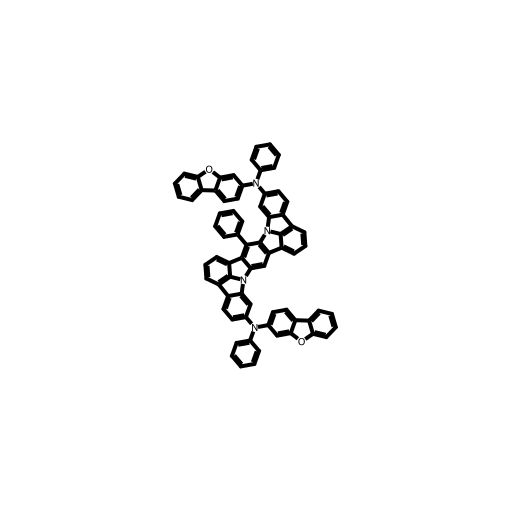 c1ccc(-c2c3c4cccc5c6ccc(N(c7ccccc7)c7ccc8c(c7)oc7ccccc78)cc6n(c3cc3c6cccc7c8ccc(N(c9ccccc9)c9ccc%10c(c9)oc9ccccc9%10)cc8n(c23)c76)c54)cc1